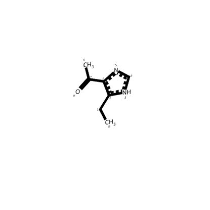 CCc1[nH]cnc1C(C)=O